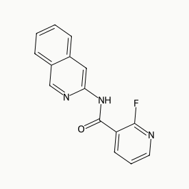 O=C(Nc1cc2ccccc2cn1)c1cccnc1F